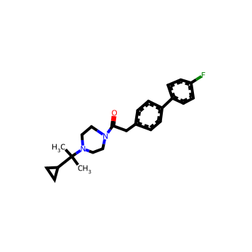 CC(C)(C1CC1)N1CCN(C(=O)Cc2ccc(-c3ccc(F)cc3)cc2)CC1